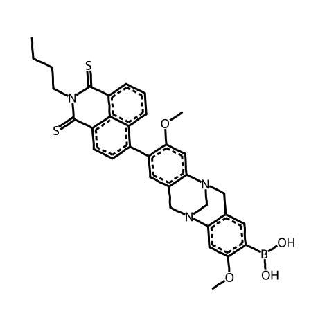 CCCCN1C(=S)c2cccc3c(-c4cc5c(cc4OC)N4Cc6cc(B(O)O)c(OC)cc6N(C5)C4)ccc(c23)C1=S